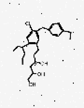 CCCC(CC)c1cc(Cl)c(Cc2ccc(CC)cc2)cc1CC[C@@H](O)CC(O)CO